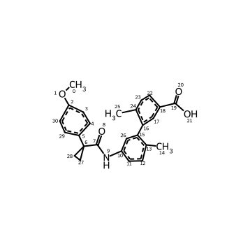 COc1ccc(C2(C(=O)Nc3ccc(C)c(-c4cc(C(=O)O)ccc4C)c3)CC2)cc1